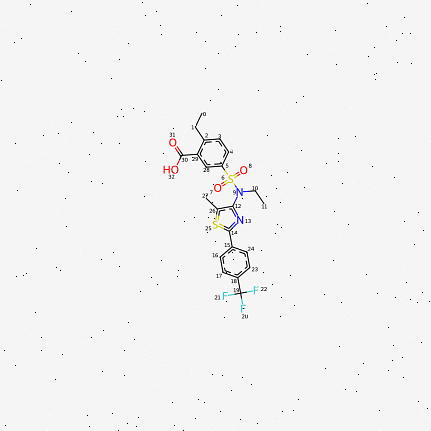 CCc1ccc(S(=O)(=O)N(CC)c2nc(-c3ccc(C(F)(F)F)cc3)sc2C)cc1C(=O)O